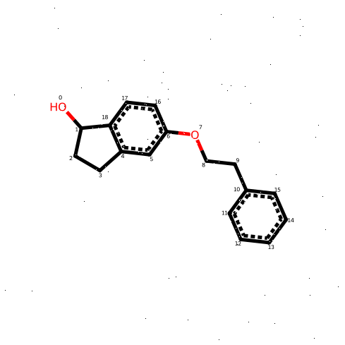 OC1CCc2cc(OCCc3ccccc3)ccc21